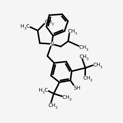 CC(C)C[Si](Cc1cc(C(C)(C)C)c(S)c(C(C)(C)C)c1)(CC(C)C)c1ccccc1